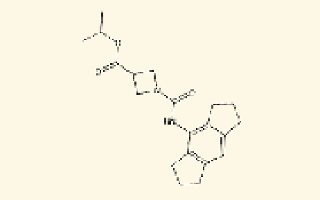 CC(C)OC(=O)C1CN(C(=O)Nc2c3c(cc4c2CCC4)CCC3)C1